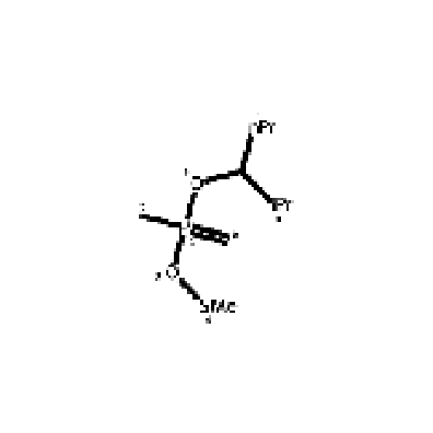 C=P(C)(OSC)OC(CCC)C(C)C